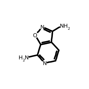 Nc1noc2c(N)nccc12